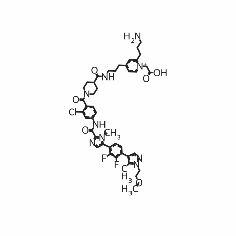 COCCn1ncc(-c2ccc(-c3cnc(C(=O)Nc4ccc(C(=O)N5CCC(C(=O)NCCCc6cc[n+](CC(=O)O)c(CCCN)c6)CC5)c(Cl)c4)n3C)c(F)c2F)c1C